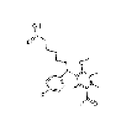 COc1c(C)c(C)c(C(C)=O)c(C)c1C(CCCCCC(=O)O)c1ccc(F)cc1